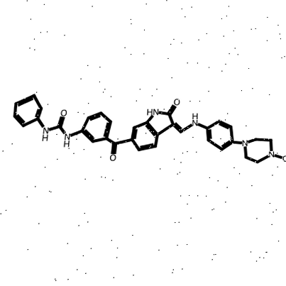 CN1CCN(c2ccc(NC=C3C(=O)Nc4cc(C(=O)c5cccc(NC(=O)Nc6ccccc6)c5)ccc43)cc2)CC1